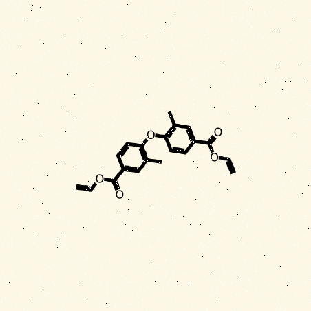 C=COC(=O)c1ccc(Oc2ccc(C(=O)OC=C)cc2C)c(C)c1